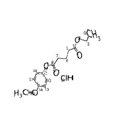 CCOC(=O)CCCC(=O)Oc1ccc(OC)cc1.Cl